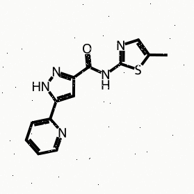 Cc1cnc(NC(=O)c2cc(-c3ccccn3)[nH]n2)s1